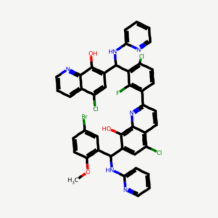 COc1ccc(Br)cc1C(Nc1ccccn1)c1cc(Cl)c2ccc(-c3ccc(Cl)c(C(Nc4ccccn4)c4cc(Cl)c5cccnc5c4O)c3F)nc2c1O